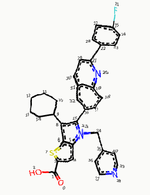 O=C(O)c1cc2c(s1)c(C1CCCCC1)c(-c1ccc3nc(-c4ccc(F)cc4)ccc3c1)n2Cc1ccncc1